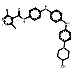 Cc1n[nH]c(C)c1C(=O)Nc1ccc(Nc2ccc(Nc3ccc(N4CCC(O)CC4)cc3)cc2)cc1